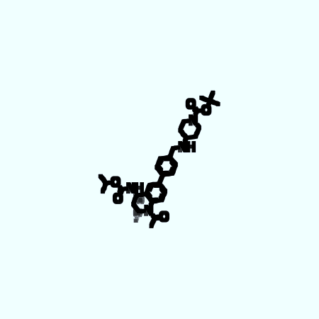 CC(=O)N1c2ccc(-c3ccc(CNC4CCN(C(=O)OC(C)(C)C)CC4)cc3)cc2[C@@H](NC(=O)OC(C)C)C[C@H]1C